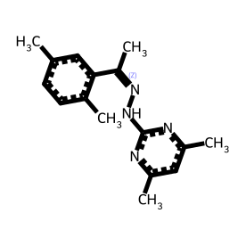 C/C(=N/Nc1nc(C)cc(C)n1)c1cc(C)ccc1C